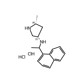 CC(N[C@@H]1CN[C@H](C)C1)c1cccc2ccccc12.Cl.Cl